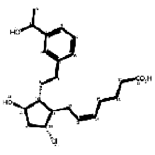 CC(O)c1cccc(CC[C@@H]2[C@@H](C/C=C\CCCC(=O)O)[C@H](Cl)C[C@H]2O)c1